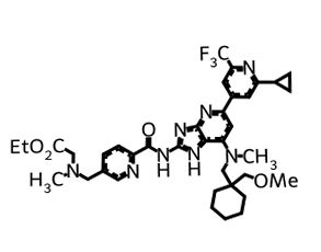 CCOC(=O)CN(C)Cc1ccc(C(=O)Nc2nc3nc(-c4cc(C5CC5)nc(C(F)(F)F)c4)cc(N(C)CC4(COC)CCCCC4)c3[nH]2)nc1